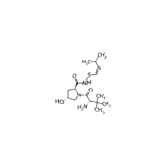 CC(C)/N=C\SNC(=O)[C@@H]1C[C@@H](O)CN1C(=O)[C@@H](N)C(C)(C)C